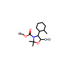 CC1CCCCC1C1C(C=O)OC(C)(C)N1C(=O)OC(C)(C)C